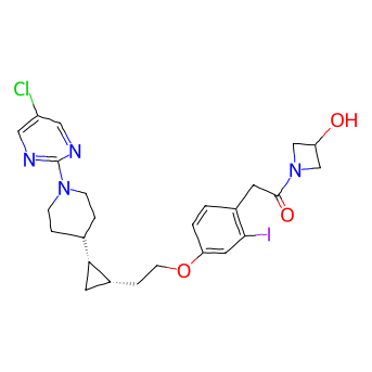 O=C(Cc1ccc(OCC[C@@H]2C[C@@H]2C2CCN(c3ncc(Cl)cn3)CC2)cc1I)N1CC(O)C1